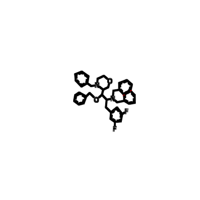 Fc1cc(F)cc(CC(C(OCc2ccccc2)C2COCCN2Cc2ccccc2)N(Cc2ccccc2)Cc2ccccc2)c1